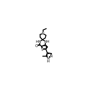 CCN1CCC2(CC1)NC(=O)c1sc(-c3cn[nH]c3C)cc1N2